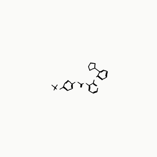 O=C(Nc1ccc(OC(F)(F)F)cc1)Nc1cccnc1Oc1ccccc1C1CCCC1